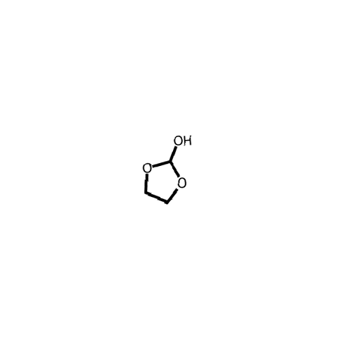 OC1OCCO1